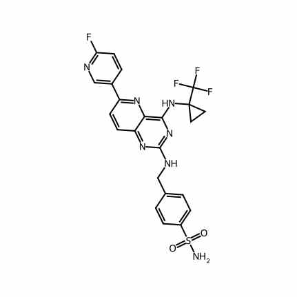 NS(=O)(=O)c1ccc(CNc2nc(NC3(C(F)(F)F)CC3)c3nc(-c4ccc(F)nc4)ccc3n2)cc1